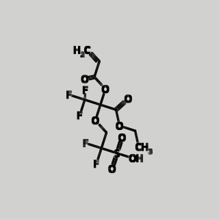 C=CC(=O)OC(OCC(F)(F)S(=O)(=O)O)(C(=O)OCC)C(F)(F)F